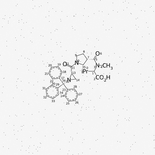 CC(C)C(C(=O)O)N(C)C(=O)[C@H]1CCN(C(=O)C2C[N@]2C(c2ccccc2)(c2ccccc2)c2ccccc2)C1